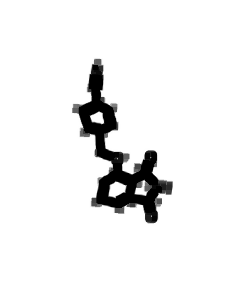 N#Cc1ccc(COc2cccc3c2C(=O)NC3=O)cc1